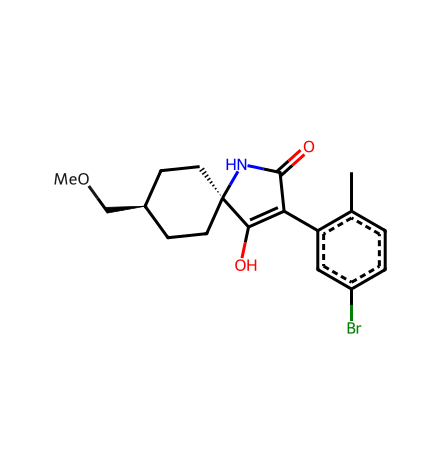 COC[C@H]1CC[C@]2(CC1)NC(=O)C(c1cc(Br)ccc1C)=C2O